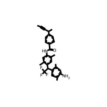 CC#CC(C)c1ccc(C(=O)Nc2cc(C)c(C(c3cc(C)c(N)cc3C)C(F)(F)F)cc2C)cc1